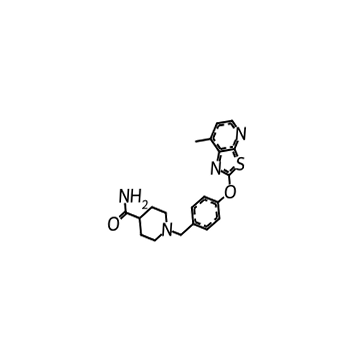 Cc1ccnc2sc(Oc3ccc(CN4CCC(C(N)=O)CC4)cc3)nc12